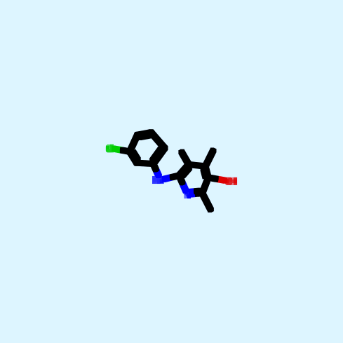 Cc1nc(Nc2cccc(Cl)c2)c(C)c(C)c1O